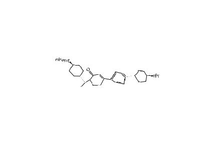 CCCCC[C@H]1CC[C@H](C(C)C2CCC(c3ccc([C@H]4CC[C@H](CCC)CC4)cc3)=CC2=O)CC1